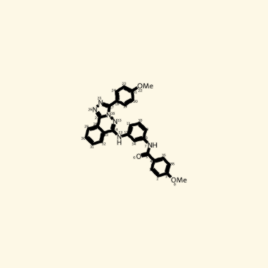 COc1ccc(C(=O)Nc2cccc(Nc3nn4c(-c5ccc(OC)cc5)nnc4c4ccccc34)c2)cc1